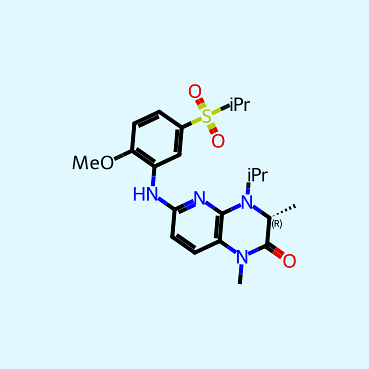 COc1ccc(S(=O)(=O)C(C)C)cc1Nc1ccc2c(n1)N(C(C)C)[C@H](C)C(=O)N2C